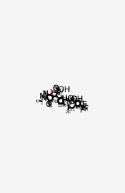 CCn1nnc2c(C)c(C(c3ccc(C)c(CN4CC(C)Cc5cc(C(F)(F)F)ccc5S4(O)O)c3)C(C)(C)C(=O)O)cc(OC)c21